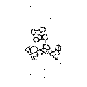 N#Cc1cc2c(c3c1C1CC4CC(C1)CC3C4)c1cc(-c3cccc4c3-c3ccccc3C43c4ccccc4-c4ccccc43)cc3c4c5c(c(C#N)cc4n2c13)C1CC2CC3CC5CC23C1